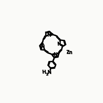 Nc1ccc(C2=CC3=CC4=NC(=CC5=NC(=CC6=NC(=CC2=N3)C=C6)C=C5)C=C4)cc1.[Zn]